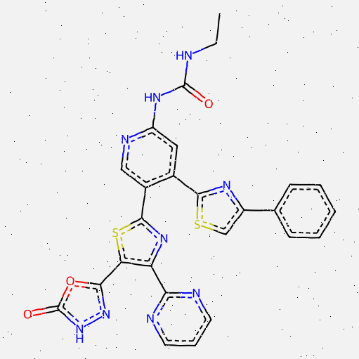 CCNC(=O)Nc1cc(-c2nc(-c3ccccc3)cs2)c(-c2nc(-c3ncccn3)c(-c3n[nH]c(=O)o3)s2)cn1